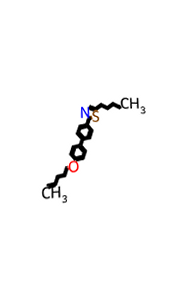 C/C=C/CCCOc1ccc(-c2ccc(-c3ncc(CCCCC)s3)cc2)cc1